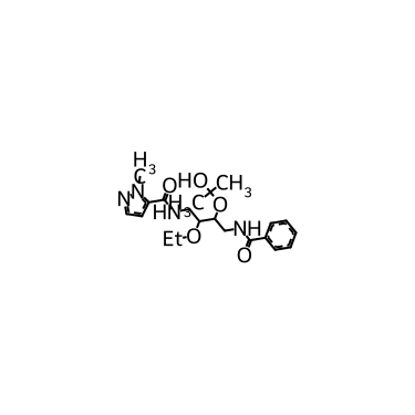 CCOC(CNC(=O)c1ccnn1C)C(CNC(=O)c1ccccc1)OC(C)(C)O